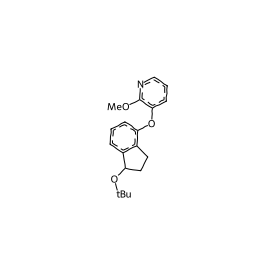 COc1ncccc1Oc1cccc2c1CCC2OC(C)(C)C